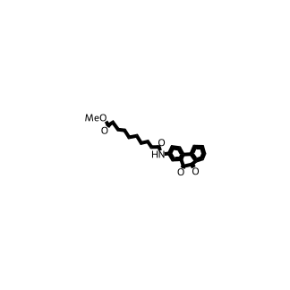 COC(=O)CCCCCCCCC(=O)Nc1ccc2c(c1)C(=O)C(=O)c1ccccc1-2